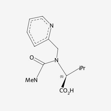 CNC(=O)N(Cc1ccccn1)[C@H](C(=O)O)C(C)C